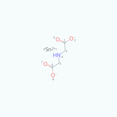 O=C([O-])CNCC(=O)[O-].[Sn+2]